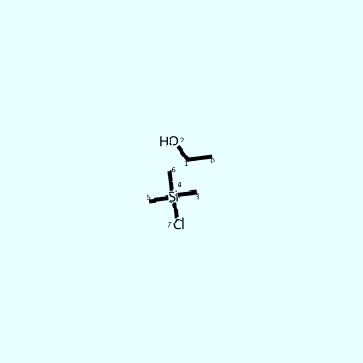 CCO.C[Si](C)(C)Cl